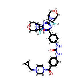 O=C(Nc1ccc(C(=O)N2CCN(CC3CC3)CC2)cc1)Nc1ccc(-c2nc(N3C4COCC3C(F)(F)C4)nc(N3C4COCC3C(F)(F)C4)n2)cc1